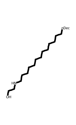 CCCCCCCCCCCCCCCCCCCCCCCNCCO